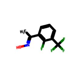 CC(=NO)c1cccc(C(F)(F)F)c1F